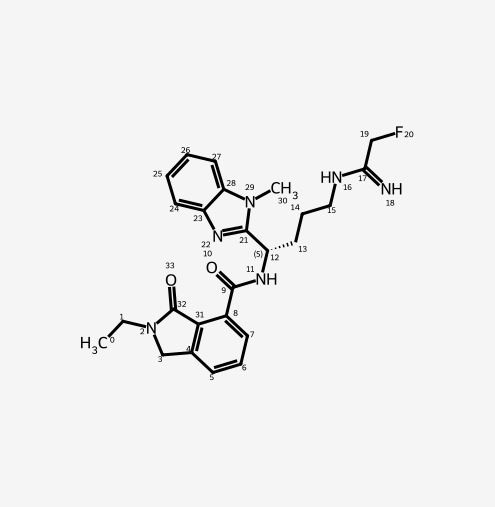 CCN1Cc2cccc(C(=O)N[C@@H](CCCNC(=N)CF)c3nc4ccccc4n3C)c2C1=O